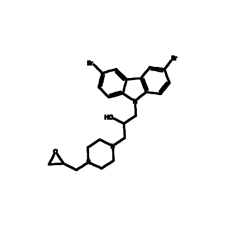 OC(CN1CCN(CC2CO2)CC1)Cn1c2ccc(Br)cc2c2cc(Br)ccc21